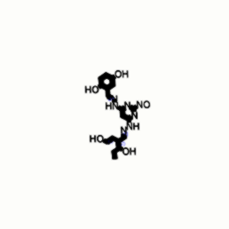 C=C/C(O)=C(\C=C\O)/C=N/Nc1cc(N/N=C/c2cc(O)ccc2O)nc(N=O)n1